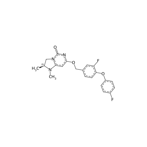 C[C@H]1Cn2c(cc(OCc3ccc(Oc4ccc(F)cc4)c(F)c3)nc2=O)N1C